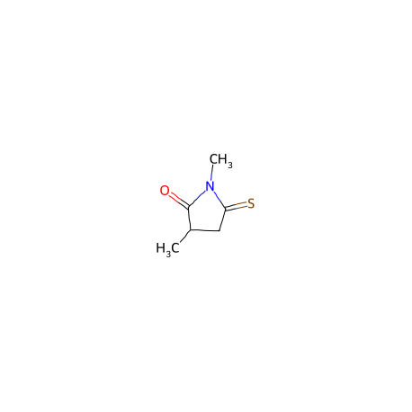 CC1CC(=S)N(C)C1=O